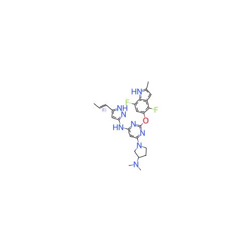 C/C=C/c1cc(Nc2cc(N3CCC(N(C)C)C3)nc(Oc3cc(F)c4[nH]c(C)cc4c3F)n2)n[nH]1